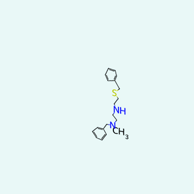 CN(CCNCCSCc1ccccc1)Cc1ccccc1